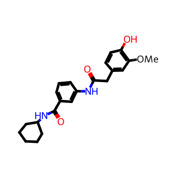 COc1cc(CC(=O)Nc2cccc(C(=O)NC3CCCCC3)c2)ccc1O